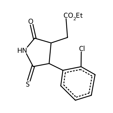 CCOC(=O)CC1C(=O)NC(=S)C1c1ccccc1Cl